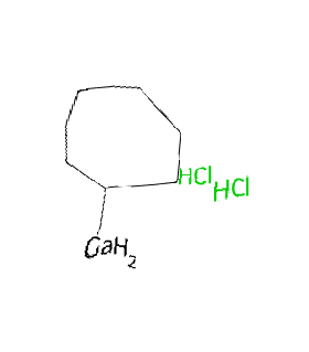 Cl.Cl.[GaH2][CH]1CCCCC1